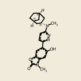 CN(c1ccc(-c2cc3oc(=O)n(C)c3cc2O)nn1)[C@H]1C[C@@H]2CC[C@@H](C2)C1